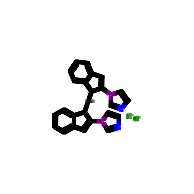 C1=C(p2ccnc2)[CH]([Zr+2][CH]2C(p3ccnc3)=Cc3ccccc32)c2ccccc21.[Cl-].[Cl-]